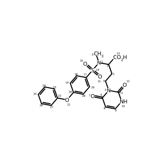 CN(C(CCn1c(=O)cc[nH]c1=O)C(=O)O)S(=O)(=O)c1ccc(Oc2ccccc2)cc1